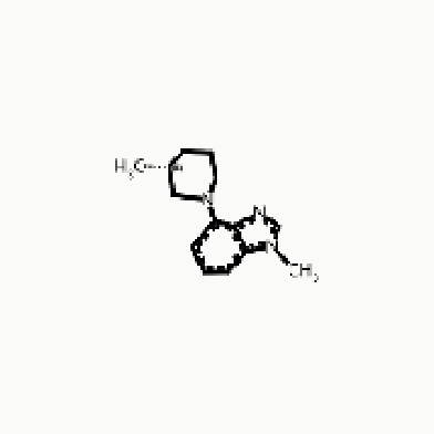 C[C@@H]1CCCN(c2cccc3c2ncn3C)C1